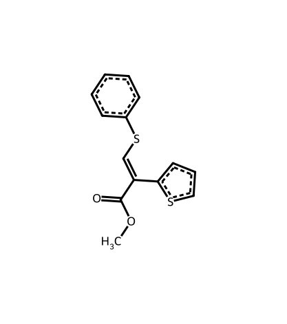 COC(=O)C(=CSc1ccccc1)c1cccs1